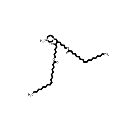 CCCCCCCC/C=C\CCCCCCCC(=O)OCCCCCC(O)C(CCCCOC(=O)CCCCCCC/C=C\CCCCCCCC)CN1CCCN(C)CC1